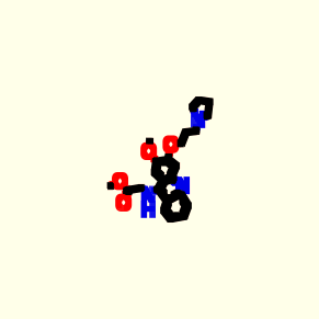 COC(=O)CNc1c2ccccc2nc2cc(OCCCN3CCCC3)c(OC)cc12